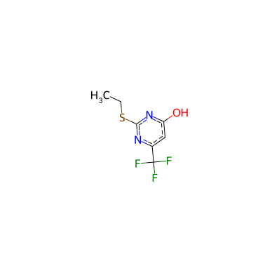 CCSc1nc(O)cc(C(F)(F)F)n1